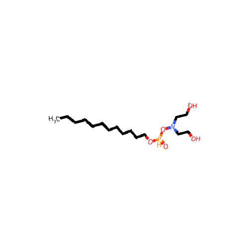 CCCCCCCCCCCCO[PH](=O)ON(CCO)CCO